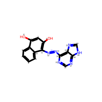 Oc1cc(O)c2ccccc2c1/N=N/c1ncnc2[nH]cnc12